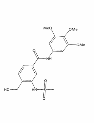 COc1cc(NC(=O)c2ccc(CO)c(NS(C)(=O)=O)c2)cc(OC)c1OC